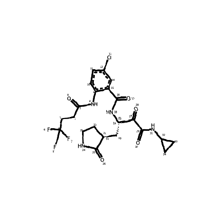 O=C(CCC(F)(F)F)Nc1ccc(Cl)cc1C(=O)N[C@@H](C[C@@H]1CCNC1=O)C(=O)C(=O)NC1CC1